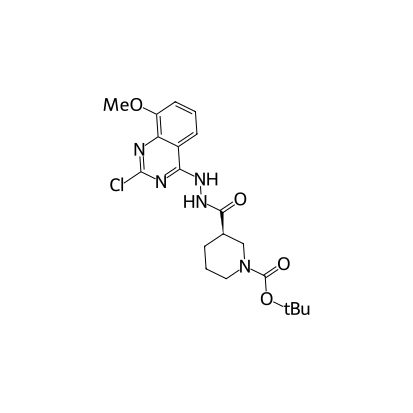 COc1cccc2c(NNC(=O)[C@@H]3CCCN(C(=O)OC(C)(C)C)C3)nc(Cl)nc12